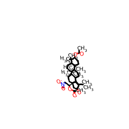 CC(=O)OC1CC[C@@]2(C)[C@@H](CC[C@]3(C)[C@]2(C)CCC2C4=C(C(C)C)C(=O)C[C@]4(C(C[N+](=O)[O-])OC(C)=O)CC[C@]23C)C1(C)C